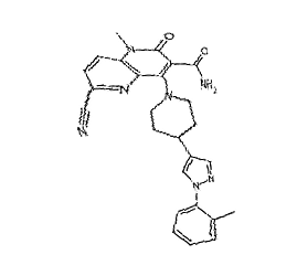 Cc1ccccc1-n1cc(C2CCN(c3c(C(N)=O)c(=O)n(C)c4ccc(C#N)nc34)CC2)cn1